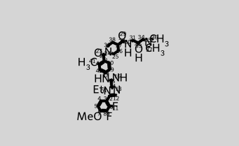 CCn1c(-c2ccc(OC)c(F)c2F)cnc1C(=N)Nc1ccc(C(=O)N2CCC(C(=O)NCC(O)CN(C)C)CC2)c(C)c1